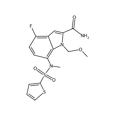 COCn1c(C(N)=O)cc2c(F)ccc(N(C)S(=O)(=O)c3cccs3)c21